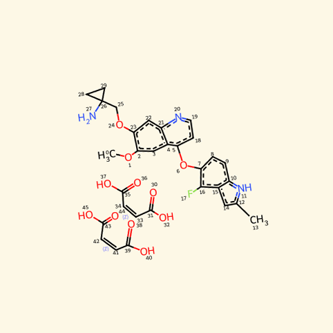 COc1cc2c(Oc3ccc4[nH]c(C)cc4c3F)ccnc2cc1OCC1(N)CC1.O=C(O)/C=C\C(=O)O.O=C(O)/C=C\C(=O)O